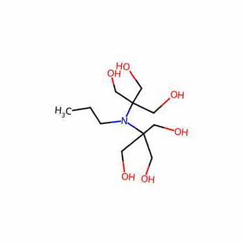 CCCN(C(CO)(CO)CO)C(CO)(CO)CO